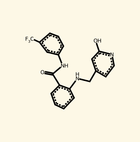 O=C(Nc1cccc(C(F)(F)F)c1)c1ccccc1NCc1ccnc(O)c1